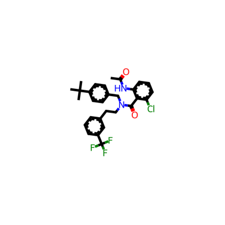 CC(=O)Nc1cccc(Cl)c1C(=O)N(CCc1cccc(C(F)(F)F)c1)Cc1ccc(C(C)(C)C)cc1